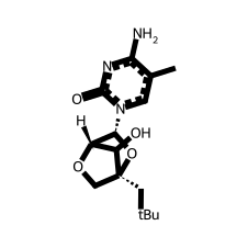 Cc1cn([C@@H]2O[C@@]3(CC(C)(C)C)CO[C@H]2C3O)c(=O)nc1N